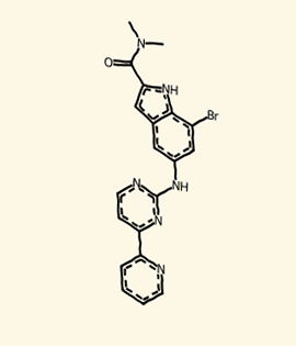 CN(C)C(=O)c1cc2cc(Nc3nccc(-c4ccccn4)n3)cc(Br)c2[nH]1